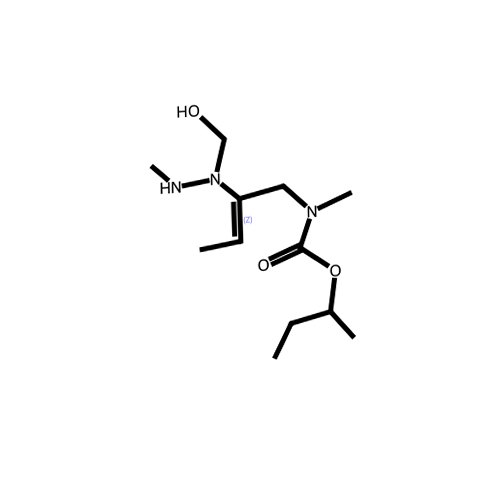 C/C=C(/CN(C)C(=O)OC(C)CC)N(CO)NC